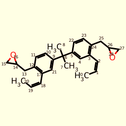 C/C=C\c1cc(C(C)(C)c2ccc(CC3CO3)c(/C=C\C)c2)ccc1CC1CO1